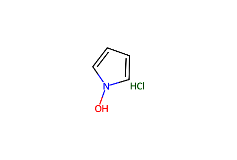 Cl.On1cccc1